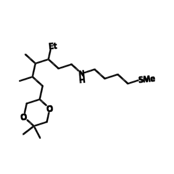 CCC(CCNCCCCSC)C(C)C(C)CC1COC(C)(C)CO1